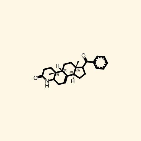 C[C@]12CCC(=O)NC1CC=C1[C@H]2CC[C@]2(C)C(C(=O)c3ccccc3)CC[C@@H]12